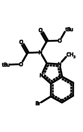 Cn1c(N(C(=O)OC(C)(C)C)C(=O)OC(C)(C)C)nc2c(Br)cccc21